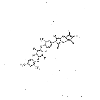 Cc1ccc(Oc2c(F)c(F)c(Oc3ccc(-n4c(=O)c5cc6c(=O)n(C)c(=O)c6cc5c4=O)cc3C)c(F)c2F)c(C(F)(F)F)c1